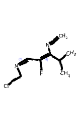 C=N/C(=C(F)\C=N/CCl)C(C)C